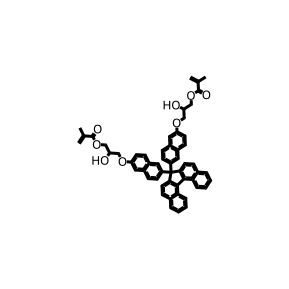 C=C(C)C(=O)OCC(O)COc1ccc2cc(C3(c4ccc5cc(OCC(O)COC(=O)C(=C)C)ccc5c4)c4ccc5ccccc5c4-c4c3ccc3ccccc43)ccc2c1